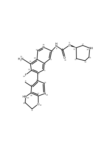 Cc1c(-c2cc3cc(NC(=O)O[C@@H]4CCCNC4)ncc3c(N)c2F)cnc2c1NCCO2